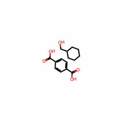 O=C(O)c1ccc(C(=O)O)cc1.OCC1CCCCC1